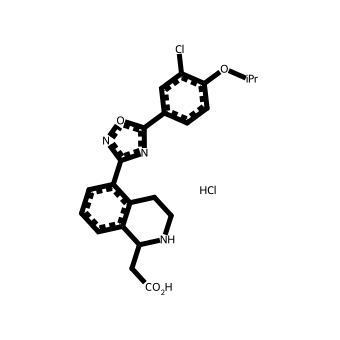 CC(C)Oc1ccc(-c2nc(-c3cccc4c3CCNC4CC(=O)O)no2)cc1Cl.Cl